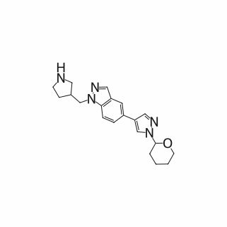 c1cc2c(cnn2CC2CCNC2)cc1-c1cnn(C2CCCCO2)c1